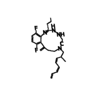 C=C/C=C\C=C/C(C)CN1CCNN/C(CCC)=N\c2c(F)ccc(F)c2C(=C)CC1